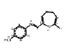 CC1=CCCC=C(/C=N/c2ccc(O)cc2)S1